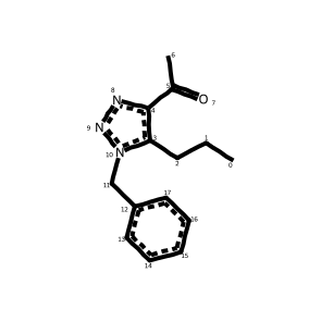 CCCc1c(C(C)=O)nnn1Cc1ccccc1